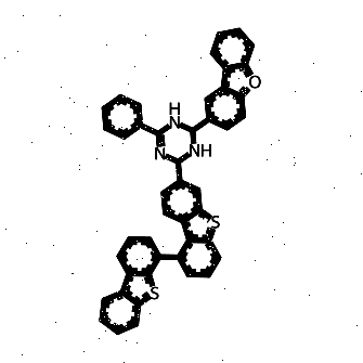 c1ccc(C2=NC(c3ccc4c(c3)sc3cccc(-c5cccc6c5sc5ccccc56)c34)NC(c3ccc4oc5ccccc5c4c3)N2)cc1